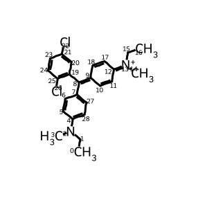 CCN(C)c1ccc(C(=C2C=CC(=[N+](C)CC)C=C2)c2cc(Cl)ccc2Cl)cc1